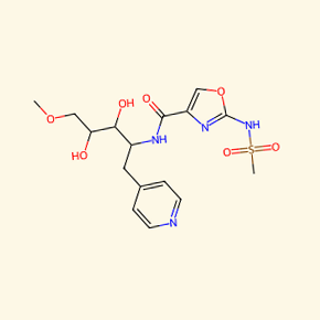 COCC(O)C(O)C(Cc1ccncc1)NC(=O)c1coc(NS(C)(=O)=O)n1